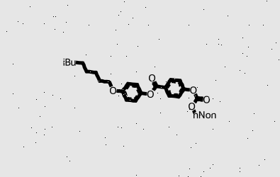 CCCCCCCCCOC(=O)Oc1ccc(C(=O)Oc2ccc(OCCCCCC(C)CC)cc2)cc1